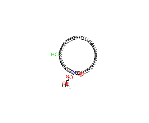 COC(=O)/C=C/C(=O)OCCN1CCCCCCCCCCCCCCCCCCCCCCCCCCCCCCCCCCCCCCCCCCCCCCCCC2(CC1)OCCO2.Cl